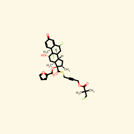 C[C@@H]1C[C@H]2[C@@H]3C[C@H](F)C4=CC(=O)C=C[C@]4(C)[C@@]3(F)[C@@H](O)C[C@]2(C)[C@@]1(OC(=O)c1ccco1)C(=O)SCC#CCOC(=O)C(C)(C)CF